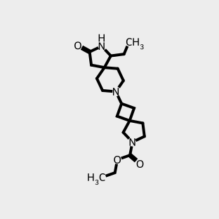 CCOC(=O)N1CCC2(CC(N3CCC4(CC3)CC(=O)NC4CC)C2)C1